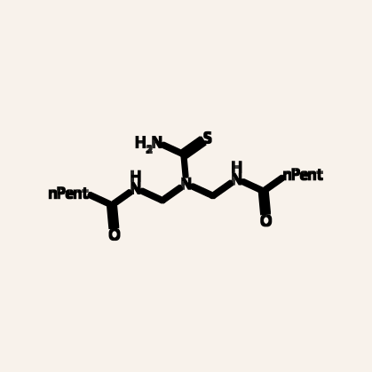 CCCCCC(=O)NCN(CNC(=O)CCCCC)C(N)=S